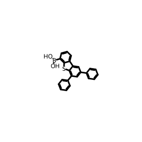 OB(O)c1cccc2c1sc1c(-c3ccccc3)cc(-c3ccccc3)cc12